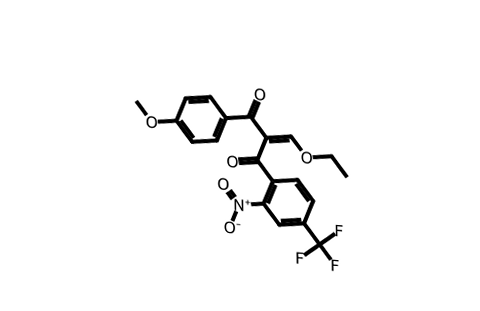 CCOC=C(C(=O)c1ccc(OC)cc1)C(=O)c1ccc(C(F)(F)F)cc1[N+](=O)[O-]